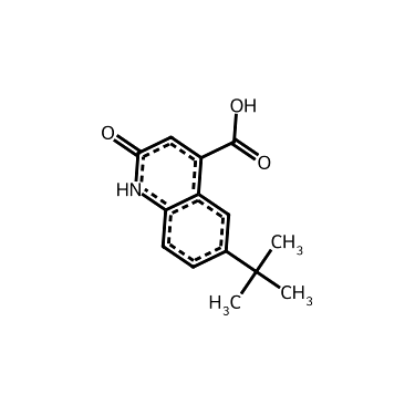 CC(C)(C)c1ccc2[nH]c(=O)cc(C(=O)O)c2c1